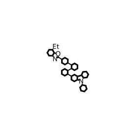 CCc1cccc2nc(-c3ccc(-c4ccccc4-c4ccccc4-c4ccc5c(c4)c4ccccc4n5-c4ccccc4)cc3)oc12